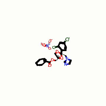 O=C(OC[C@@H]1CO[C@@](Cn2ccnc2)(c2ccc(Cl)cc2Cl)O1)c1ccccc1.O=[N+]([O-])O